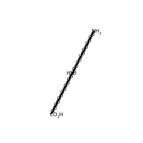 NCCOCCOCCOCCOCCOCCOCCOCCOCCOCCOCCOCCOCCC(=O)NCCOCCOCCOCCOCCOCCOCCOCCOCCOCCOCCOCCOCCC(=O)O